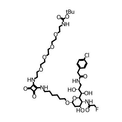 CC(C)(C)OC(=O)NCCOCCOCCOCCOCCNc1c(NCCCCCCO[C@H]2C[C@H](O)[C@@H](NC(=O)CF)[C@H]([C@H](O)[C@H](O)CNC(=O)Cc3ccc(Cl)cc3)O2)c(=O)c1=O